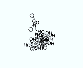 O=C(OCc1ccccc1)N(CCCCCO[C@H]1O[C@H](C(O)[C@H]2O[C@H](CO)[C@@H](O)[C@H](O)[C@@H]2O)[C@](O)([C@H]2O[C@H](CO)[C@@H](O)[C@H](O)[C@@H]2O)[C@@](O)([C@H]2O[C@H](CO)[C@@H](O)[C@H](O)[C@@H]2O)[C@@H]1O)Cc1ccccc1